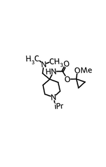 COC1(OC(=O)NC2(CN(C)C)CCN(C(C)C)CC2)CC1